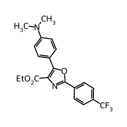 CCOC(=O)c1nc(-c2ccc(C(F)(F)F)cc2)oc1-c1ccc(N(C)C)cc1